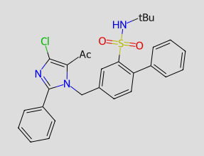 CC(=O)c1c(Cl)nc(-c2ccccc2)n1Cc1ccc(-c2ccccc2)c(S(=O)(=O)NC(C)(C)C)c1